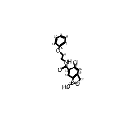 O=C(NCCOc1ccccc1)c1cc2c(cc1Cl)COB2O